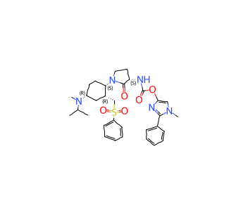 CC(C)N(C)[C@@H]1CC[C@H](N2CC[C@H](NC(=O)Oc3cn(C)c(-c4ccccc4)n3)C2=O)[C@H](CS(=O)(=O)c2ccccc2)C1